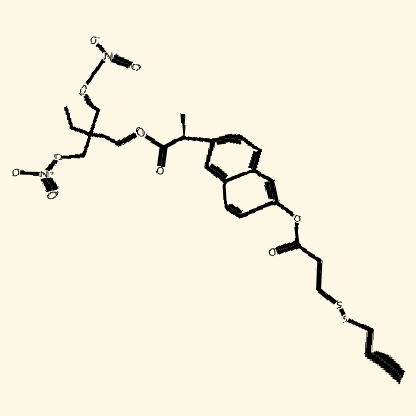 C=CCSSCCC(=O)Oc1ccc2cc([C@H](C)C(=O)OCC(CC)(CO[N+](=O)[O-])CO[N+](=O)[O-])ccc2c1